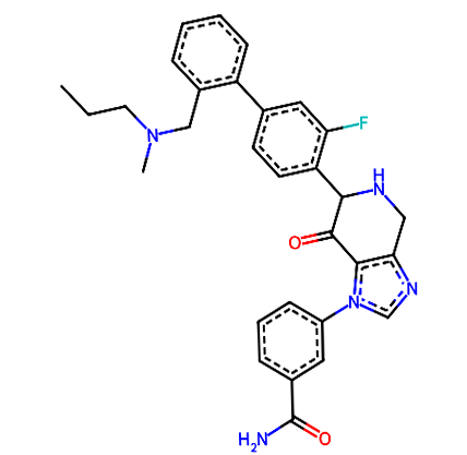 CCCN(C)Cc1ccccc1-c1ccc(C2NCc3ncn(-c4cccc(C(N)=O)c4)c3C2=O)c(F)c1